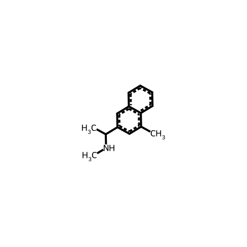 CNC(C)c1cc(C)c2ccccc2c1